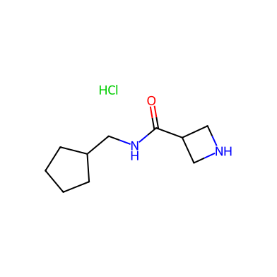 Cl.O=C(NCC1CCCC1)C1CNC1